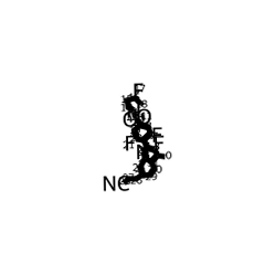 Cc1c(F)c(-c2c(F)cc(S(=O)(=O)N3CC[C@H](F)C3)cc2F)nc2cc(CCC#N)ccc12